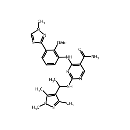 COc1c(Nc2nc(NC(C)c3c(C)nn(C)c3C)ncc2C(N)=O)cccc1-c1ncn(C)n1